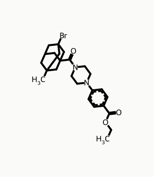 CCOC(=O)c1ccc(N2CCN(C(=O)C34CC5CC(C)(CC(Br)(C5)C3)C4)CC2)cc1